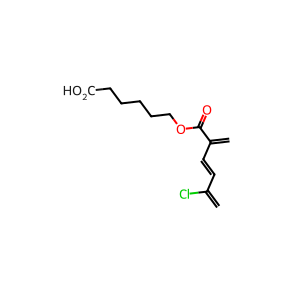 C=C(Cl)C=CC(=C)C(=O)OCCCCCC(=O)O